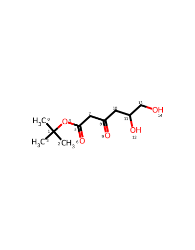 CC(C)(C)OC(=O)CC(=O)CC(O)CO